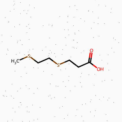 CSCCSCCC(=O)O